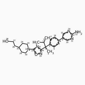 CC(C)C(C)(c1ccc(-c2cnc(N)nc2)cc1)c1noc(N2CCC(CCO)CC2)n1